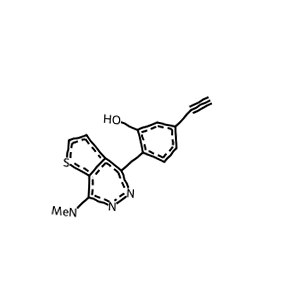 C#Cc1ccc(-c2nnc(NC)c3sccc23)c(O)c1